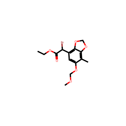 CCOC(=O)C(Br)c1cc(OCOC)c(C)c2c1OCO2